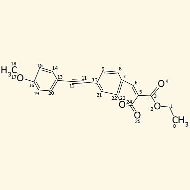 CCOC(=O)c1cc2ccc(C#Cc3ccc(OC)cc3)cc2oc1=O